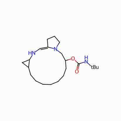 CC(C)(C)NC(=O)OC1CCCCCCCC2CC2NC=C2CCCN2C1